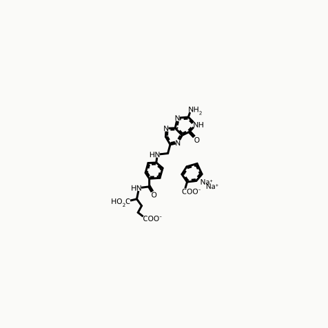 Nc1nc2ncc(CNc3ccc(C(=O)NC(CCC(=O)[O-])C(=O)O)cc3)nc2c(=O)[nH]1.O=C([O-])c1ccccc1.[Na+].[Na+]